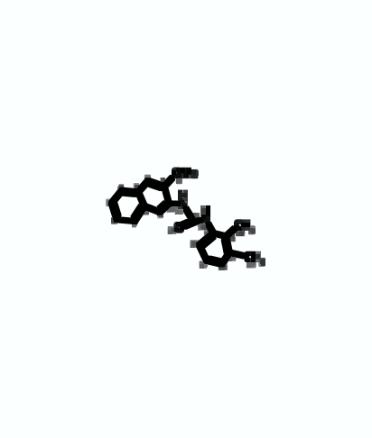 COc1cc2ccccc2cc1NC(=O)Nc1cccc(C)c1C